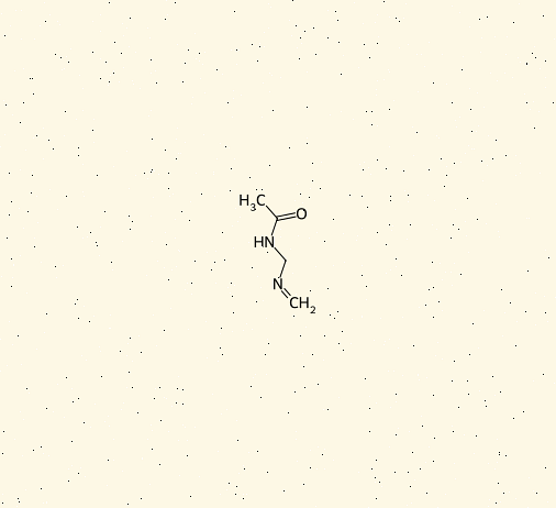 C=NCNC(C)=O